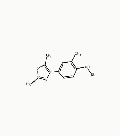 CCNc1ccc(-c2nc(C(C)(C)C)sc2C(F)(F)F)cc1C